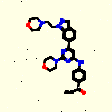 COC(=O)c1ccc(Nc2cc(-c3ccc4cnn(CCN5CCOCC5)c4c3)nc(N3CCOCC3)n2)cc1